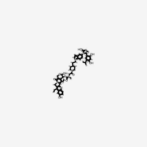 CCc1c2c(nc3ccc(O)cc13)-c1cc3c(c(=O)n1C2)COC(O)[C@@]3(CC)OC(=O)N(C)CC(=O)N1CCC(CCn2ccc3cc(-n4c(O)nnc4-c4cc(C(C)C)c(O)cc4O)ccc32)CC1